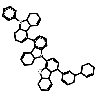 C1=CC(C2C=C(C3C=CC(N4c5cccc(C6=CCCC7C6C6C=CCCC6N7c6ccccc6)c5C5C=CCCC54)=C4OC5CCC=CC5C43)C=CC2)CCC1